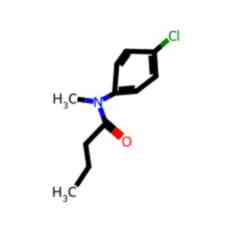 CCCC(=O)N(C)c1ccc(Cl)cc1